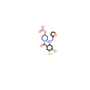 O=C(c1cc(S)c(Cl)cc1NCc1ccco1)N1CCC(O[N+](=O)[O-])CC1